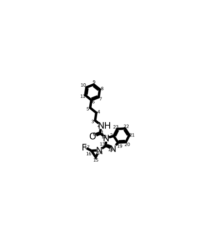 O=C(NCCCc1ccccc1)n1c(N2CC2F)nc2ccccc21